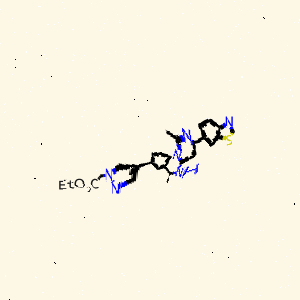 CCOC(=O)Cn1cc(-c2cccc([C@H](C)Nc3cc(-c4ccc5ncsc5c4)nc(C)n3)c2)cn1